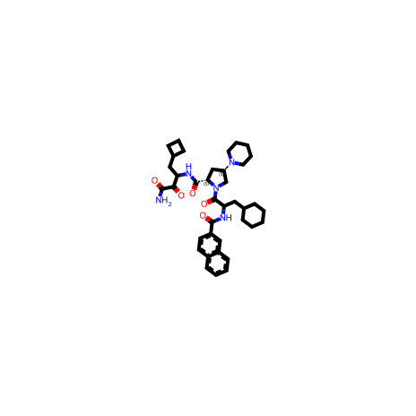 NC(=O)C(=O)C(CC1CCC1)NC(=O)[C@@H]1C[C@H](N2CCCCC2)CN1C(=O)C(CC1CCCCC1)NC(=O)c1ccc2ccccc2c1